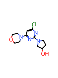 O[C@@H]1CCN(c2nc(Cl)cc(N3CCOCC3)n2)C1